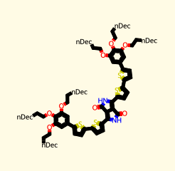 CCCCCCCCCCCCOc1cc(-c2ccc(-c3ccc(C4=C5C(=O)NC(c6ccc(-c7ccc(-c8cc(OCCCCCCCCCCCC)c(OCCCCCCCCCCCC)c(OCCCCCCCCCCCC)c8)s7)s6)=C5C(=O)N4)s3)s2)cc(OCCCCCCCCCCCC)c1OCCCCCCCCCCCC